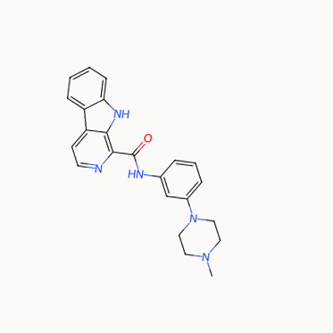 CN1CCN(c2cccc(NC(=O)c3nccc4c3[nH]c3ccccc34)c2)CC1